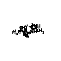 Cc1[nH]ccc1Nc1nnc(N(C)C)[nH]1